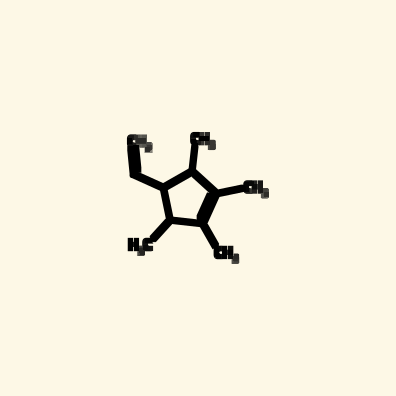 C=CC1C(C)C(C)=C(C)C1C